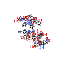 COc1ccc(OC(C)C(=O)O)cc1.N#Cc1ccc(NC(=O)NCS(=O)(=O)[O-])cc1.N#Cc1ccc(NC(=O)N[C@@H](CC(=O)OC(=O)[C@H](Cc2ccccc2)NC(=O)[C@@H](N)CC(=O)O)C(=O)N[C@@H](Cc2ccccc2)C(=O)O)cc1.O=C(O)C[C@H](NC(=O)Nc1ccc([N+](=O)[O-])cc1)C(=O)N[C@@H](Cc1ccccc1)C(=O)Oc1ccc(C(=O)O)c(O)c1.[K+]